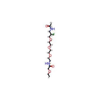 CCOCC(=O)NCCOCCOCCOCC(F)CNC(C)=O